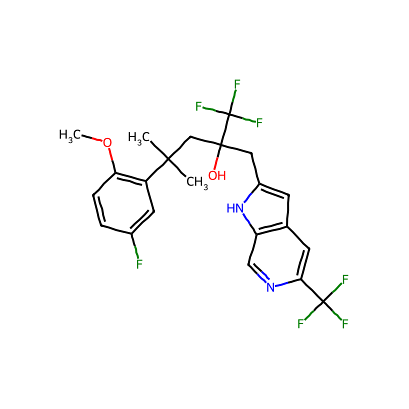 COc1ccc(F)cc1C(C)(C)CC(O)(Cc1cc2cc(C(F)(F)F)ncc2[nH]1)C(F)(F)F